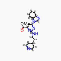 COC(=O)c1cc(-n2cnc3ccccc32)nc(NCCc2ccncc2)n1